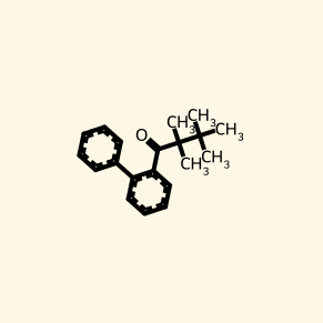 CC(C)(C)C(C)(C)C(=O)c1ccccc1-c1ccccc1